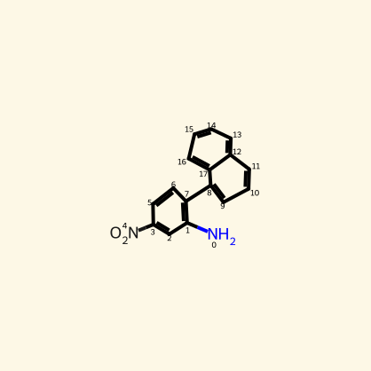 Nc1cc([N+](=O)[O-])ccc1-c1cccc2ccccc12